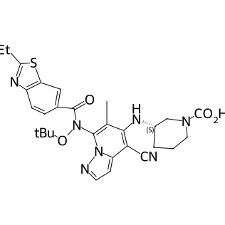 CCc1nc2ccc(C(=O)N(OC(C)(C)C)c3c(C)c(N[C@H]4CCCN(C(=O)O)C4)c(C#N)c4ccnn34)cc2s1